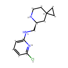 Clc1cccc(NC[C@@H]2CC3(CC[N]2)CC3)n1